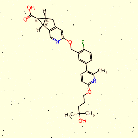 Cc1nc(OCCCC(C)(C)O)ccc1-c1ccc(F)c(COc2cc3c(cn2)[C@H]2[C@@H](C3)[C@@H]2C(=O)O)c1